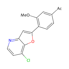 COc1cc(C(C)=O)ccc1-c1cc2nccc(Cl)c2o1